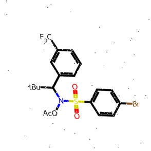 CC(=O)ON(C(c1cccc(C(F)(F)F)c1)C(C)(C)C)S(=O)(=O)c1ccc(Br)cc1